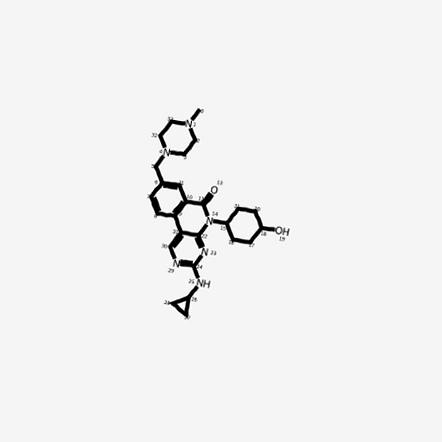 CN1CCN(Cc2ccc3c(c2)c(=O)n(C2CCC(O)CC2)c2nc(NC4CC4)ncc32)CC1